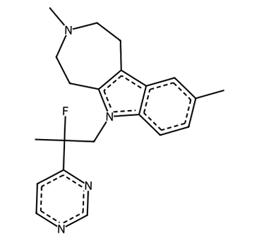 Cc1ccc2c(c1)c1c(n2CC(C)(F)c2ccncn2)CCN(C)CC1